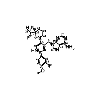 COc1ccc(C2C=C(Cn3cnc4c(N)ncnc43)C(N3CCCC(N)(C(C)F)C3)=CN2)cc1F